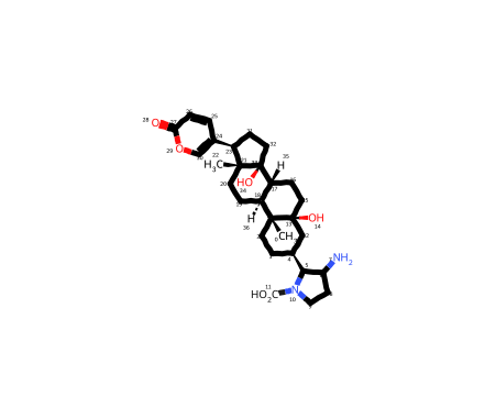 C[C@]12CC[C@H](C3C(N)CCN3C(=O)O)C[C@@]1(O)CC[C@@H]1[C@@H]2CC[C@]2(C)[C@@H](c3ccc(=O)oc3)CC[C@]12O